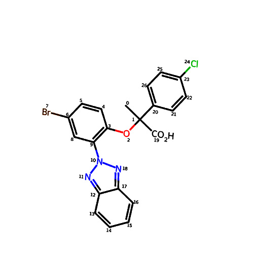 CC(Oc1ccc(Br)cc1-n1nc2ccccc2n1)(C(=O)O)c1ccc(Cl)cc1